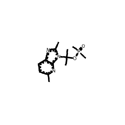 Cc1ccc2nc(C)n(C(C)(C)OP(C)(C)=O)c2n1